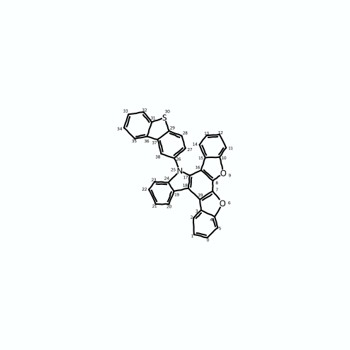 c1ccc2c(c1)oc1c3oc4ccccc4c3c3c(c4ccccc4n3-c3ccc4sc5ccccc5c4c3)c21